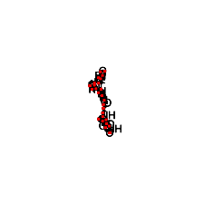 O=C1CCC(n2ccc3c(NCCCCCC(=O)N4CCC(n5cc(-c6cnc7cccc(-c8cc(F)c(CN9CCOCC9)c(F)c8)c7n6)cn5)CC4)cccc3c2=O)C(=O)N1